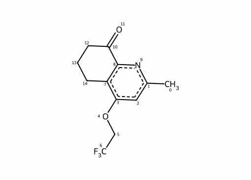 Cc1cc(OCC(F)(F)F)c2c(n1)C(=O)CCC2